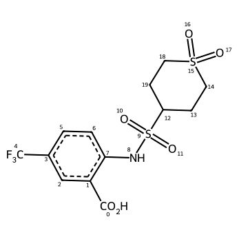 O=C(O)c1cc(C(F)(F)F)ccc1NS(=O)(=O)C1CCS(=O)(=O)CC1